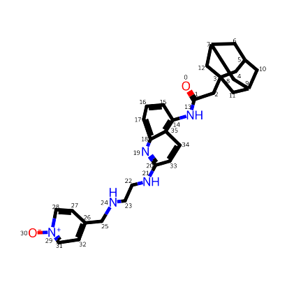 O=C(CC12CC3CC(CC(C3)C1)C2)Nc1cccc2nc(NCCNCc3cc[n+]([O-])cc3)ccc12